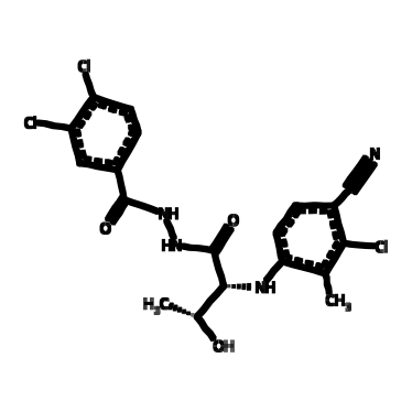 Cc1c(N[C@@H](C(=O)NNC(=O)c2ccc(Cl)c(Cl)c2)[C@@H](C)O)ccc(C#N)c1Cl